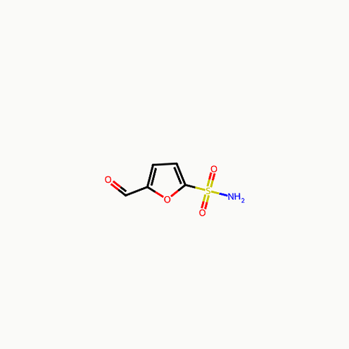 NS(=O)(=O)c1ccc(C=O)o1